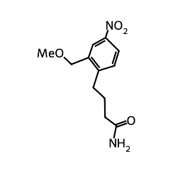 COCc1cc([N+](=O)[O-])ccc1CCCC(N)=O